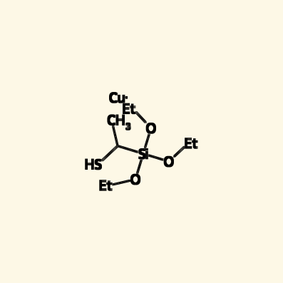 CCO[Si](OCC)(OCC)C(C)S.[Cu]